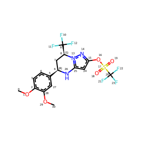 COc1ccc([C@H]2C[C@@H](C(F)(F)F)n3nc(OS(=O)(=O)C(F)(F)F)cc3N2)cc1OC